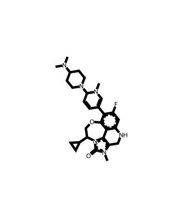 CN(C)C1CCN(C2C=CC(c3c(F)cc4c5c3OCC(C3CC3)n3c-5c(n(C)c3=O)CN4)=CN2C)CC1